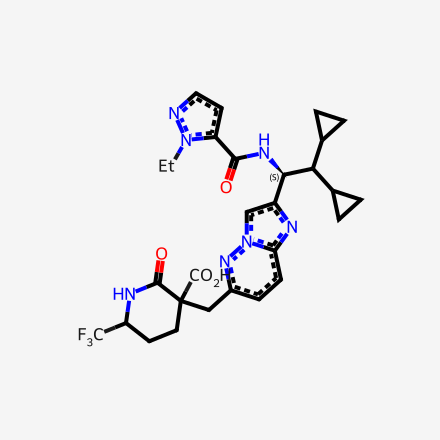 CCn1nccc1C(=O)N[C@H](c1cn2nc(CC3(C(=O)O)CCC(C(F)(F)F)NC3=O)ccc2n1)C(C1CC1)C1CC1